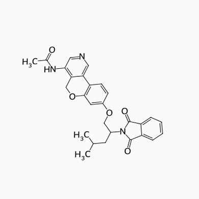 CC(=O)Nc1cncc2c1COc1cc(OCC(CC(C)C)N3C(=O)c4ccccc4C3=O)ccc1-2